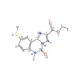 CCOC(=O)c1nc2c3cc(SC)ccc3n(C)c(=O)n2n1